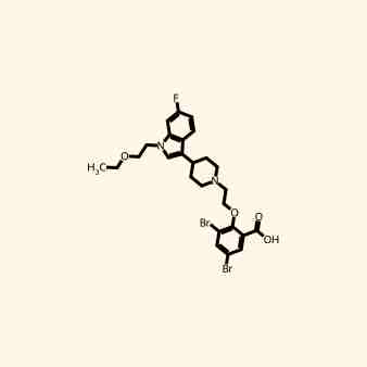 CCOCCn1cc(C2CCN(CCOc3c(Br)cc(Br)cc3C(=O)O)CC2)c2ccc(F)cc21